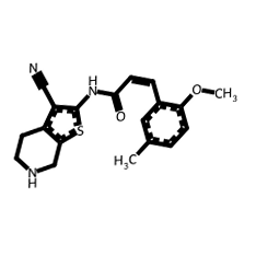 COc1ccc(C)cc1/C=C\C(=O)Nc1sc2c(c1C#N)CCNC2